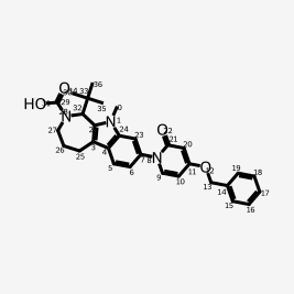 Cn1c2c(c3ccc(-n4ccc(OCc5ccccc5)cc4=O)cc31)CCCN(C(=O)O)C2C(C)(C)C